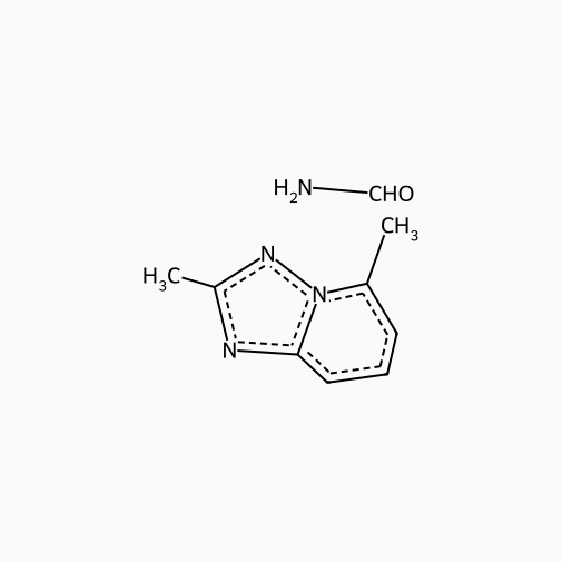 Cc1nc2cccc(C)n2n1.NC=O